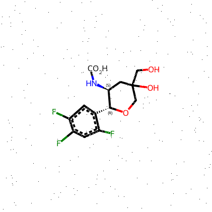 O=C(O)N[C@H]1CC(O)(CO)CO[C@@H]1c1cc(F)c(F)cc1F